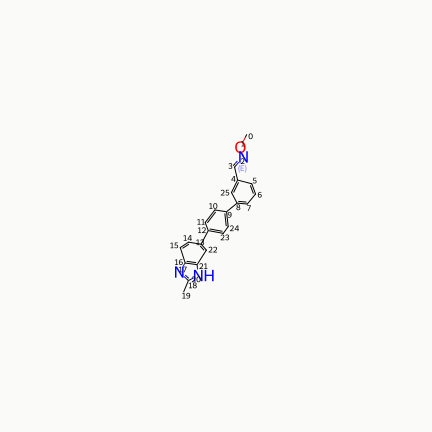 CO/N=C/c1cccc(-c2ccc(-c3ccc4nc(C)[nH]c4c3)cc2)c1